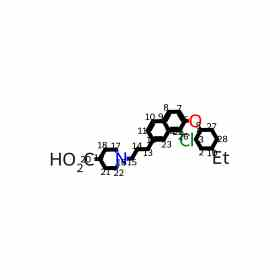 CC[C@H]1CC[C@@H](Oc2ccc3ccc(CCCN4CCC(C(=O)O)CC4)cc3c2Cl)CC1